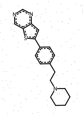 [c]1ncnc2cc(-c3ccc(CCN4CCCCC4)cc3)sc12